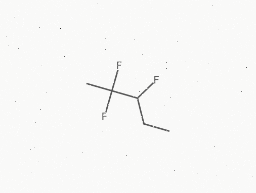 CCC(F)C(C)(F)F